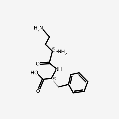 NCC[C@H](N)C(=O)N[C@H](Cc1ccccc1)C(=O)O